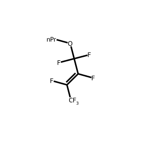 CCCOC(F)(F)C(F)=C(F)C(F)(F)F